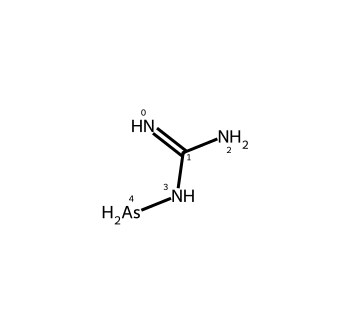 N=C(N)N[AsH2]